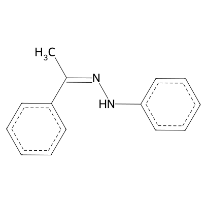 CC(=NNc1ccccc1)c1ccccc1